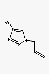 C=CCn1cc(CCC)nn1